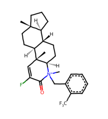 C[C@@]12CCC[C@H]1[C@@H]1CC[C@@H]3[C@](C)(C=C(F)C(=O)[N+]3(C)Cc3ccccc3C(F)(F)F)[C@H]1CC2